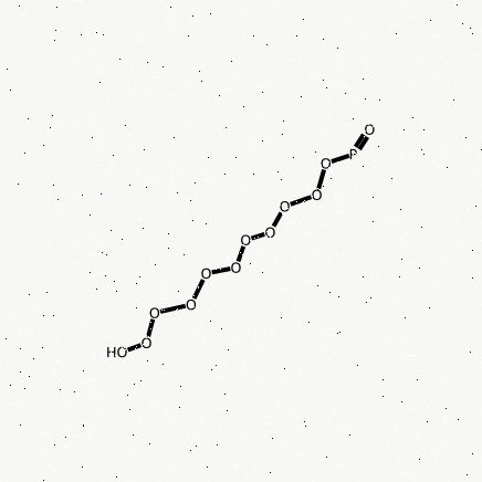 O=POOOOOOOOOOO